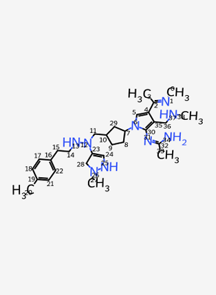 C/N=C(\C)c1cn(C2CCC(CN(NCCc3ccc(C)cc3)C3=CNN(C)C3)C2)c(/N=C(/C)N)c1CNC